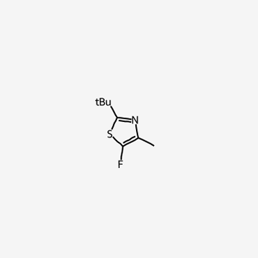 Cc1nc(C(C)(C)C)sc1F